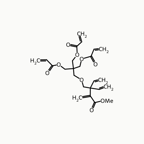 C=CC(=O)OCC(COCC(C=C)(C=C)C(=C)C(=O)OC)(COC(=O)C=C)COC(=O)C=C